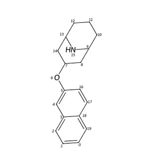 c1ccc2cc(OC3CC4CCCC(C3)N4)ccc2c1